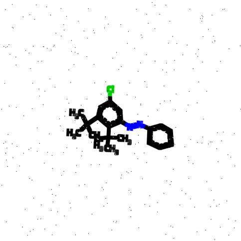 CC(C)(C)c1cc(Cl)cc(N=Nc2ccccc2)c1C(C)(C)C